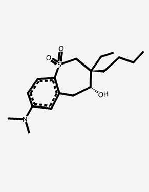 CCCC[C@]1(CC)CS(=O)(=O)c2ccc(N(C)C)cc2C[C@H]1O